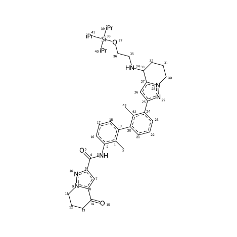 Cc1c(NC(=O)c2cc3n(n2)CCCC3=O)cccc1-c1cccc(-c2cc3n(n2)CCCC3NCCO[Si](C(C)C)(C(C)C)C(C)C)c1C